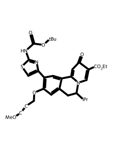 CCOC(=O)c1cn2c(cc1=O)-c1cc(-c3csc(NC(=O)OC(C)(C)C)n3)c(OCCCOC)cc1CC2C(C)C